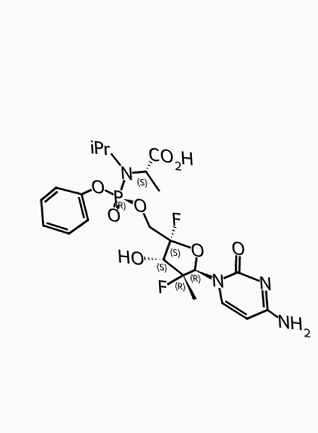 CC(C)N([C@@H](C)C(=O)O)[P@@](=O)(OC[C@@]1(F)O[C@@H](n2ccc(N)nc2=O)[C@](C)(F)[C@@H]1O)Oc1ccccc1